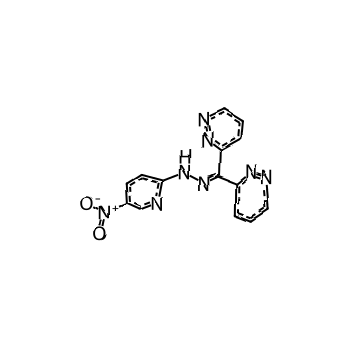 O=[N+]([O-])c1ccc(NN=C(c2cccnn2)c2cccnn2)nc1